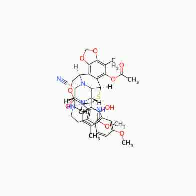 COc1ccc2c3c([nH]c2c1)[C@@]1(CS[C@@H]2c4c(OC(C)=O)c(C)c5c(c4[C@H](COC1=O)N1C2[C@@H]2c4c(cc(C)c(OC)c4O)C[C@H]([C@@H]1C#N)N2C)OCO5)NCC3